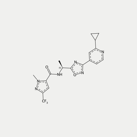 C[C@H](NC(=O)c1cc(C(F)(F)F)nn1C)c1nc(-c2ccnc(C3CC3)c2)no1